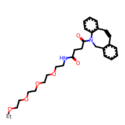 CCOCCOCCOCCOCCNC(=O)CCC(=O)N1Cc2ccccc2C#Cc2ccccc21